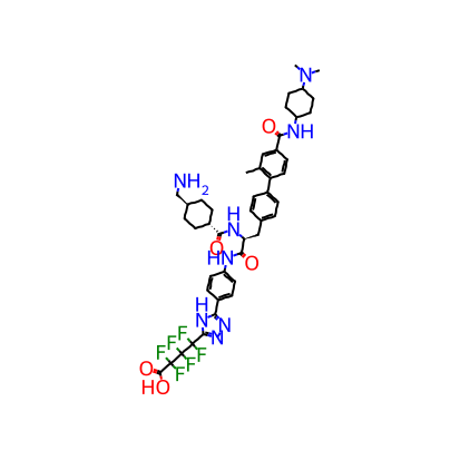 Cc1cc(C(=O)NC2CCC(N(C)C)CC2)ccc1-c1ccc(C[C@H](NC(=O)[C@H]2CC[C@H](CN)CC2)C(=O)Nc2ccc(-c3nnc(C(F)(F)C(F)(F)C(F)(F)C(=O)O)[nH]3)cc2)cc1